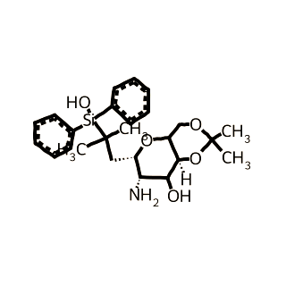 CC1(C)OCC2O[C@@H](CC(C)(C)[Si](O)(c3ccccc3)c3ccccc3)[C@@H](N)C(O)[C@@H]2O1